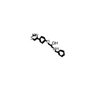 OC(CNCc1ccccc1)COc1ccc(-c2csnn2)cc1